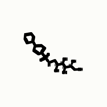 O=S(=O)(NC[C@H](O)[C@@H](O)[C@H](O)[C@H](O)CO)c1ccc(-c2ccccc2)cc1